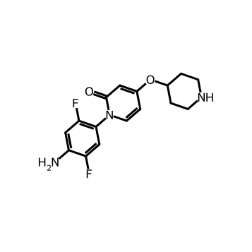 Nc1cc(F)c(-n2ccc(OC3CCNCC3)cc2=O)cc1F